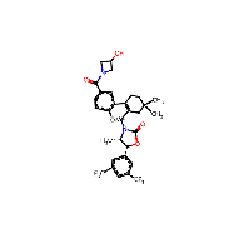 COc1ccc(C(=O)N2CC(O)C2)cc1C1=C(CN2C(=O)O[C@H](c3cc(C(F)(F)F)cc(C(F)(F)F)c3)[C@@H]2C)CC(C)(C)CC1